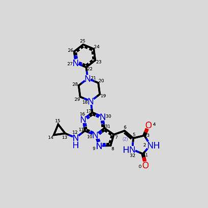 O=C1NC(=O)/C(=C/c2cnn3c(NC4CC4)nc(N4CCN(c5ccccn5)CC4)nc23)N1